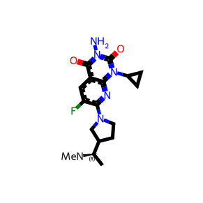 CN[C@H](C)C1CCN(c2nc3c(cc2F)c(=O)n(N)c(=O)n3C2CC2)C1